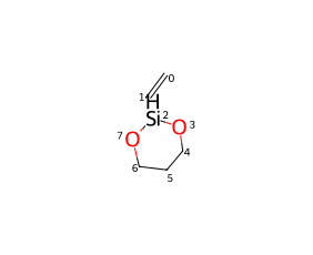 C=C[SiH]1OCCCO1